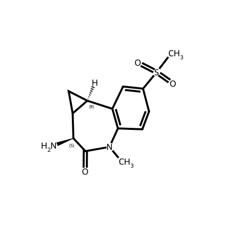 CN1C(=O)[C@@H](N)C2C[C@H]2c2cc(S(C)(=O)=O)ccc21